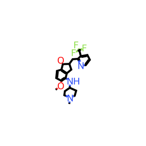 COc1ccc2c(c1NC1CCN(C)CC1)CC(Cc1ncccc1C(F)(F)F)C2=O